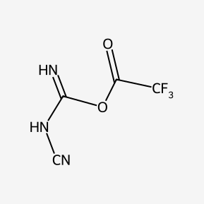 N#CNC(=N)OC(=O)C(F)(F)F